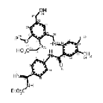 CCOC(=O)NC(=N)c1ccc(NC(=O)c2cc(C)c(F)cc2NCc2cc(CO)cc(OC(C)C)c2OCC(=O)O)cc1